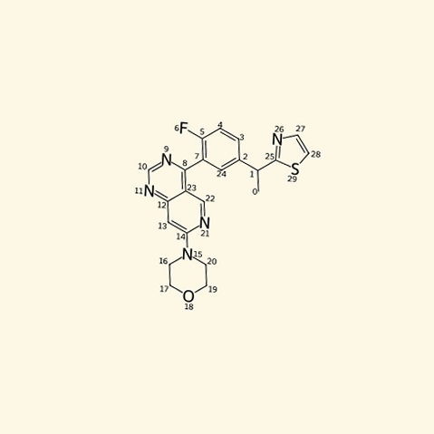 CC(c1ccc(F)c(-c2ncnc3cc(N4CCOCC4)ncc23)c1)c1nccs1